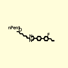 C=CCc1ccc(-c2ccc(-c3cnc(C=CCCCC(C)OCCCCC)nc3)cc2)cc1F